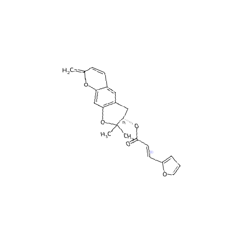 C=C1C=Cc2cc3c(cc2O1)OC(C)(C)[C@@H](OC(=O)/C=C/c1ccco1)C3